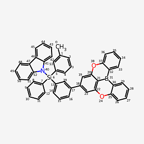 Cc1cccc([Si](c2ccccc2)(c2cccc(-c3cc4c5c(c3)Oc3ccccc3B5c3ccccc3O4)c2)n2c3ccccc3c3ccccc32)c1